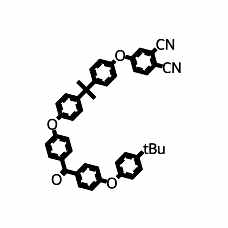 CC(C)(C)c1ccc(Oc2ccc(C(=O)c3ccc(Oc4ccc(C(C)(C)c5ccc(Oc6ccc(C#N)c(C#N)c6)cc5)cc4)cc3)cc2)cc1